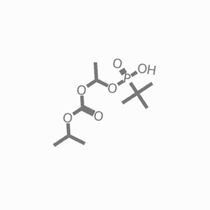 CC(C)OC(=O)OC(C)OP(=O)(O)C(C)(C)C